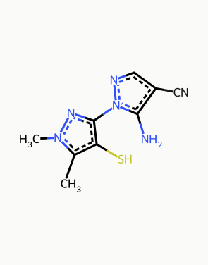 Cc1c(S)c(-n2ncc(C#N)c2N)nn1C